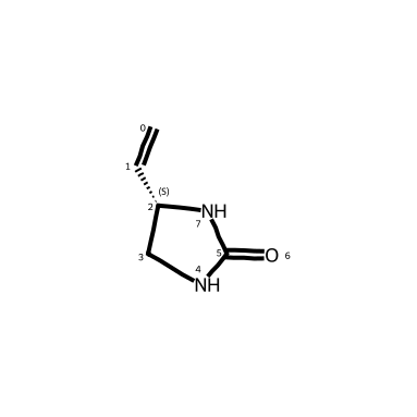 C=C[C@H]1CNC(=O)N1